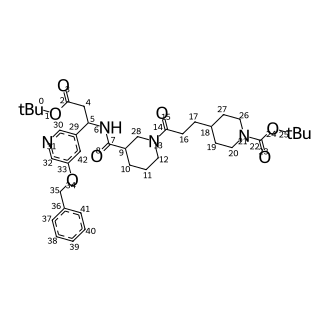 CC(C)(C)OC(=O)CC(NC(=O)C1CCCN(C(=O)CCC2CCN(C(=O)OC(C)(C)C)CC2)C1)c1cncc(OCc2ccccc2)c1